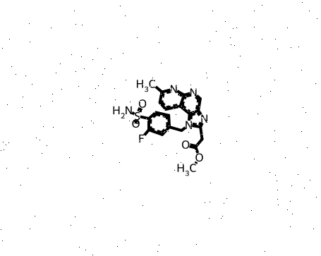 COC(=O)Cc1nc2cnc3nc(C)ccc3c2n1Cc1ccc(S(N)(=O)=O)c(F)c1